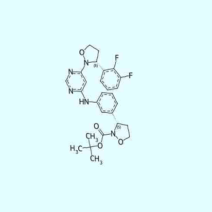 CC(C)(C)OC(=O)N1OCC[C@H]1c1cccc(Nc2cc(N3OCC[C@@H]3c3cccc(F)c3F)ncn2)c1